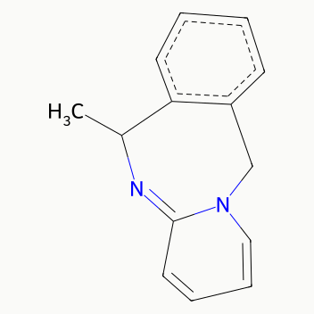 CC1N=C2C=CC=CN2Cc2ccccc21